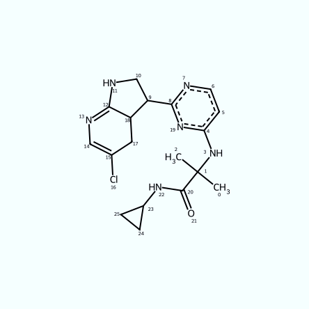 CC(C)(Nc1ccnc(C2CNC3=NC=C(Cl)CC32)n1)C(=O)NC1CC1